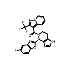 O=C(c1c(C(F)(F)F)nn2ccccc12)N1CCc2[nH]cnc2[C@H]1c1nc2cc(F)ccc2o1